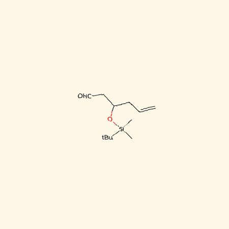 C=CCC(CC=O)O[Si](C)(C)C(C)(C)C